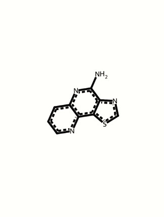 Nc1nc2cccnc2c2scnc12